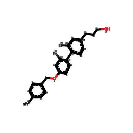 CCCc1ccc(COc2ccc(-c3ccc(CCCO)cc3CC)c(CC)c2)cc1